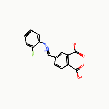 O=C(O)c1ccc(/C=N/c2ccccc2F)cc1C(=O)O